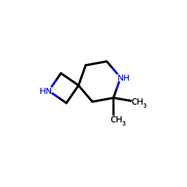 CC1(C)CC2(CCN1)CNC2